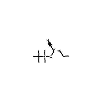 CCC[C@H](C#N)O[Si](C)(C)C(C)(C)C